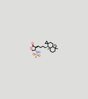 CC1(C)CCC[C@@]2(C)[C@H]1CCC1(CC1)[C@@H]2CCC/C=C1/C(=O)OC[C@H]1NS(C)(=O)=O